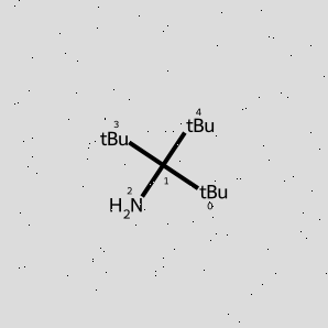 CC(C)(C)C(N)(C(C)(C)C)C(C)(C)C